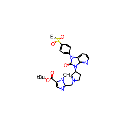 CCS(=O)(=O)c1ccc(-n2c(=O)n(C3CCN(Cc4ncc(C(=O)OC(C)(C)C)n4C)C3)c3ncccc32)cc1